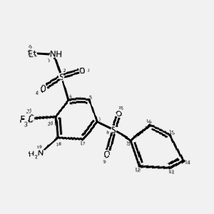 CCNS(=O)(=O)c1cc(S(=O)(=O)c2ccccc2)cc(N)c1C(F)(F)F